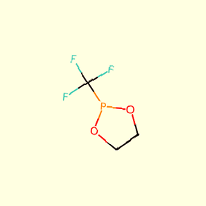 FC(F)(F)P1OCCO1